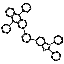 c1ccc(-c2c3ccccc3c(-c3ccccc3)c3cc(-c4cccc(-c5ccc6c(c5)nc(-c5ccccc5)n6-c5ccccc5)c4)ccc23)cc1